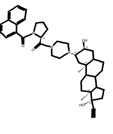 C#C[C@]1(O)CCC2C3CCC4C[C@H](O)[C@@H](N5CCN(C(=O)[C@@H]6CCCN6C(=O)c6cccc7ccccc67)CC5)C[C@]4(C)C3CC[C@@]21C